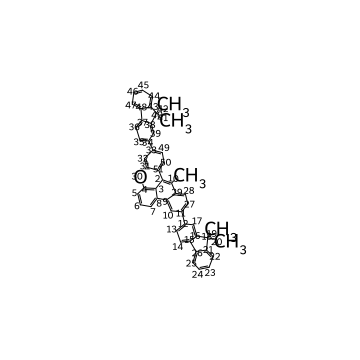 Cc1c2c3c(cccc3c3cc(-c4ccc5c(c4)C(C)(C)c4ccccc4-5)ccc13)Oc1cc(-c3ccc4c(c3)C(C)(C)c3ccccc3-4)ccc1-2